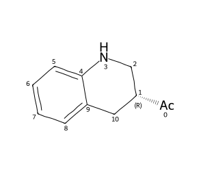 CC(=O)[C@H]1CNc2ccccc2C1